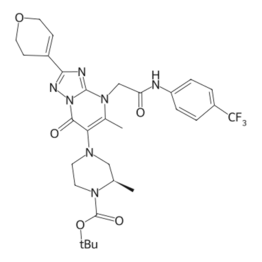 Cc1c(N2CCN(C(=O)OC(C)(C)C)[C@H](C)C2)c(=O)n2nc(C3=CCOCC3)nc2n1CC(=O)Nc1ccc(C(F)(F)F)cc1